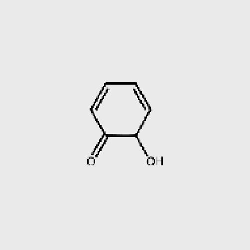 O=C1C=CC=CC1O